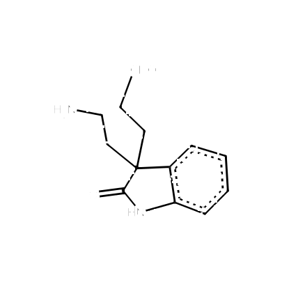 NCCC1(CCC=O)C(=O)Nc2ccccc21